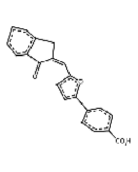 O=C(O)c1ccc(-c2ccc(C=C3Cc4ccccc4C3=O)o2)cc1